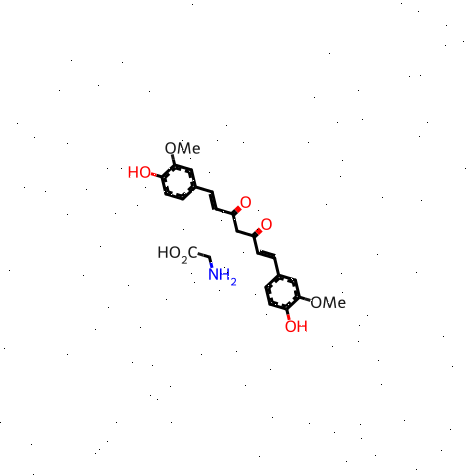 COc1cc(C=CC(=O)CC(=O)C=Cc2ccc(O)c(OC)c2)ccc1O.NCC(=O)O